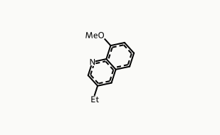 CCc1cnc2c(OC)cccc2c1